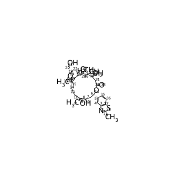 Cc1nc2cc([C@@H]3C[C@@H]4O[C@]4(C)CCC[C@H](C)[C@@H]4O[C@H](CO)C[C@H]4C(=O)C(C)(C)[C@@H](O)CC(=O)O3)ccc2s1